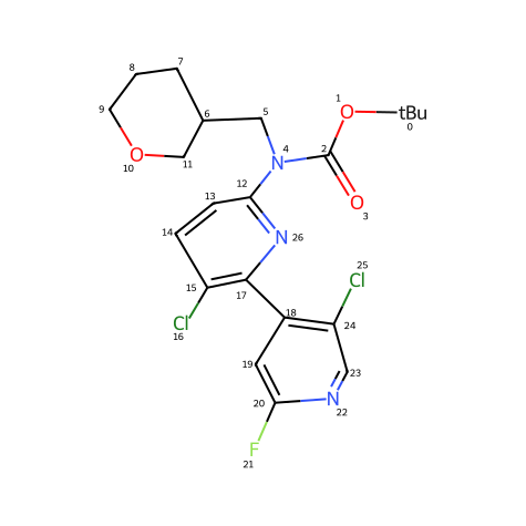 CC(C)(C)OC(=O)N(CC1CCCOC1)c1ccc(Cl)c(-c2cc(F)ncc2Cl)n1